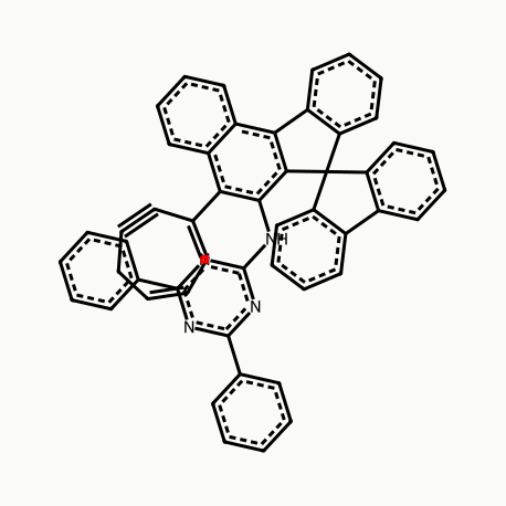 C1#CC(c2c(Nc3nc(-c4ccccc4)nc(-c4ccccc4)n3)c3c(c4ccccc24)-c2ccccc2C32c3ccccc3-c3ccccc32)=CC=CC1